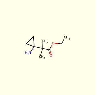 CCOC(=O)C(C)(C)C1(N)CC1